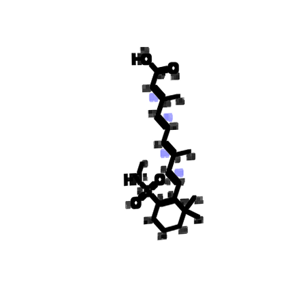 CNS(=O)(=O)C1=C(/C=C/C(C)=C/C=C/C(C)=C/C(=O)O)C(C)(C)CCC1